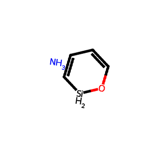 C1=CO[SiH2]C=C1.N